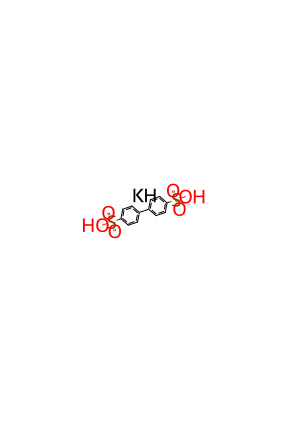 O=S(=O)(O)c1ccc(-c2ccc(S(=O)(=O)O)cc2)cc1.[KH]